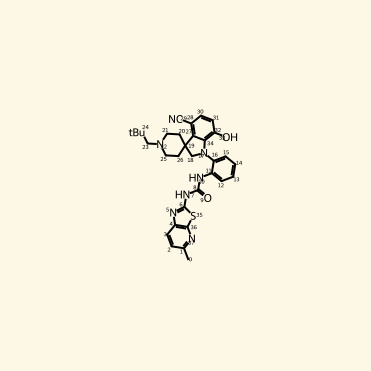 Cc1ccc2nc(NC(=O)Nc3ccccc3N3CC4(CCN(CC(C)(C)C)CC4)c4c(C#N)ccc(O)c43)sc2n1